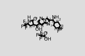 N[C@H](c1cn2ncc(C(O)C3CC(C(F)(F)F)NC3=O)cc2n1)C1CCC(F)(F)CC1.O=C(O)C(F)(F)F